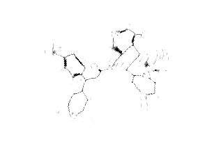 CCCS(=O)(=O)N1CCNCC1CCc1c(F)cncc1NC(=O)CC(c1ccc(Cl)cc1)C1C[C@@H](C)O[C@@H](C)C1